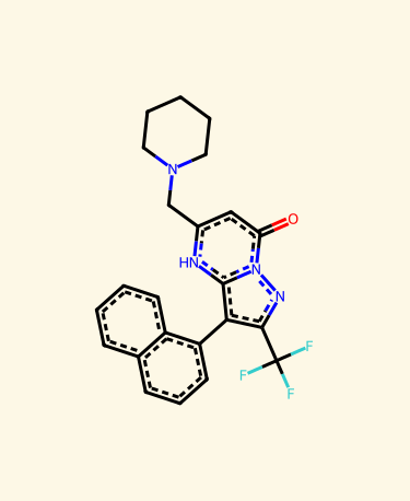 O=c1cc(CN2CCCCC2)[nH]c2c(-c3cccc4ccccc34)c(C(F)(F)F)nn12